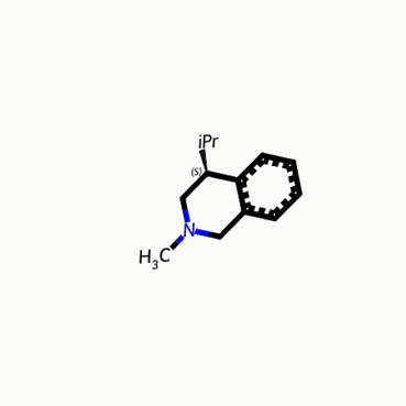 CC(C)[C@@H]1CN(C)Cc2ccccc21